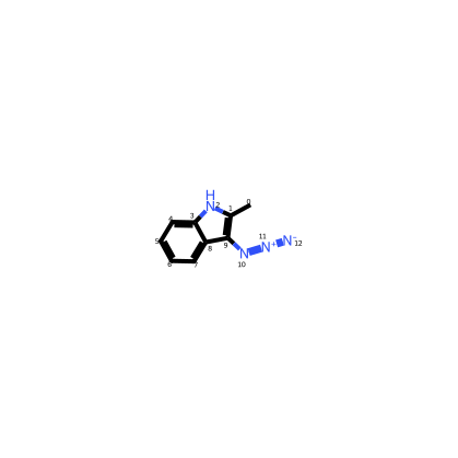 Cc1[nH]c2ccccc2c1N=[N+]=[N-]